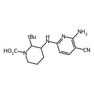 CC(C)(C)C1C(Nc2ccc(C#N)c(N)n2)CCCN1C(=O)O